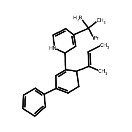 BC(C)(C1=CC(C2=CC(c3ccccc3)=CCC2C(C)=CC)NC=C1)C(C)C